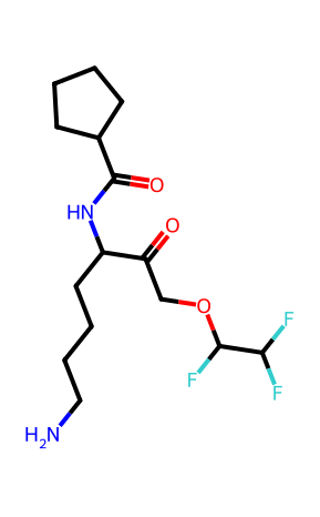 NCCCCC(NC(=O)C1CCCC1)C(=O)COC(F)C(F)F